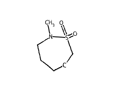 CN1CCCCCS1(=O)=O